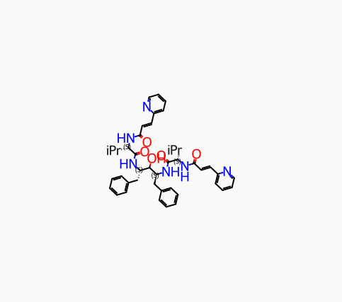 CC(C)[C@H](NC(=O)C=Cc1ccccn1)C(=O)N[C@@H](Cc1ccccc1)C(O)[C@H](Cc1ccccc1)NC(=O)[C@@H](NC(=O)C=Cc1ccccn1)C(C)C